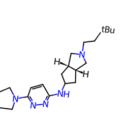 CC(C)(C)CCN1C[C@H]2CC(Nc3ccc(N4CCOCC4)nn3)C[C@H]2C1